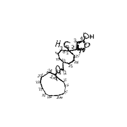 CC1(c2cc(O)on2)CCCC(COC2CCCCCCCCCC2)CCC1